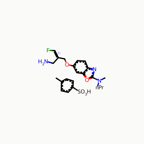 CCCN(C)c1nc2ccc(OC/C(=C/F)CN)cc2o1.Cc1ccc(S(=O)(=O)O)cc1